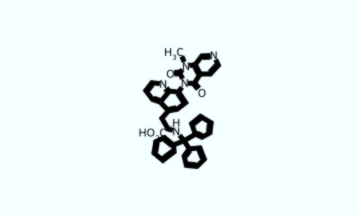 Cn1c(=O)n(-c2ccc(C[C@H](NC(c3ccccc3)(c3ccccc3)c3ccccc3)C(=O)O)c3cccnc23)c(=O)c2ccncc21